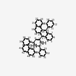 C1=C(c2c3ccccc3c(-c3ccccc3)c3c2ccc2ccccc23)NC(c2ccccc2)NC1c1cccc2ccc3ccccc3c12